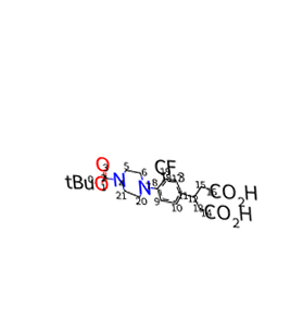 CC(C)(C)OC(=O)N1CCN(c2ccc(C(CC(=O)O)CC(=O)O)cc2C(F)(F)F)CC1